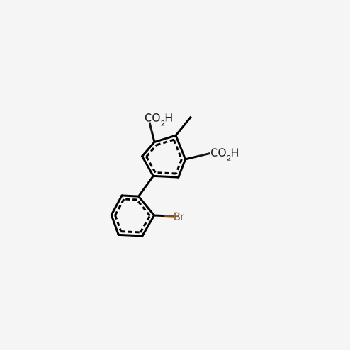 Cc1c(C(=O)O)cc(-c2ccccc2Br)cc1C(=O)O